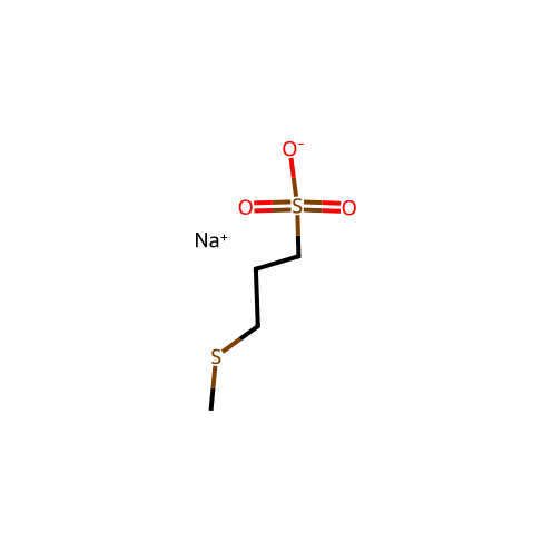 CSCCCS(=O)(=O)[O-].[Na+]